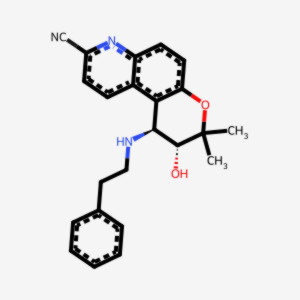 CC1(C)Oc2ccc3nc(C#N)ccc3c2[C@H](NCCc2ccccc2)[C@H]1O